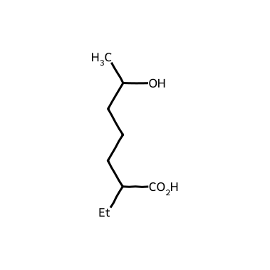 CCC(CCCC(C)O)C(=O)O